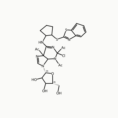 CC(=O)N1C2N([C@@H]3O[C@H](CO)C(O)C3O)C=NC2(C(C)=O)C(NC2CCCC2Sc2nc3ccccc3s2)=NC1(Cl)C(C)=O